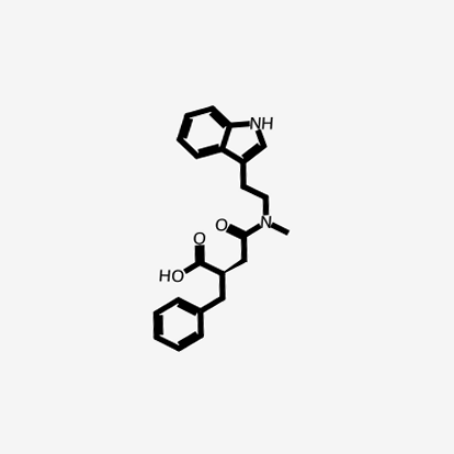 CN(CCc1c[nH]c2ccccc12)C(=O)C[C@@H](Cc1ccccc1)C(=O)O